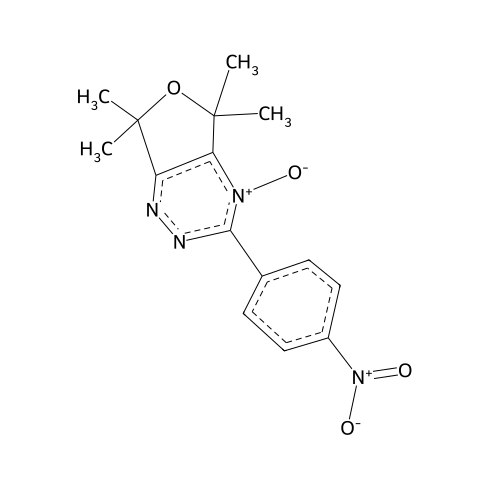 CC1(C)OC(C)(C)c2c1nnc(-c1ccc([N+](=O)[O-])cc1)[n+]2[O-]